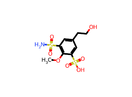 COc1c(S(N)(=O)=O)cc(CCO)cc1S(=O)(=O)O